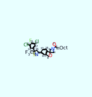 CCCCCCCCC(=O)N1CC2(C1)OCc1cc(C3=NS[C@@](c4cc(Cl)c(F)c(Cl)c4)(C(F)(F)F)C3)ccc12